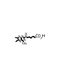 Cc1nc2nc(NCCCCCC(=O)O)nc(O)c2nc1C